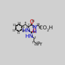 CC(C)CCNC(=O)N[C@@H](Cc1ccccc1)C(=O)NCC(=O)O